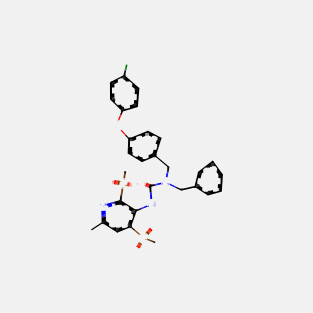 Cc1cc(S(C)(=O)=O)c(NC(=O)N(Cc2ccccc2)Cc2ccc(Oc3ccc(F)cc3)cc2)c(S(C)(=O)=O)n1